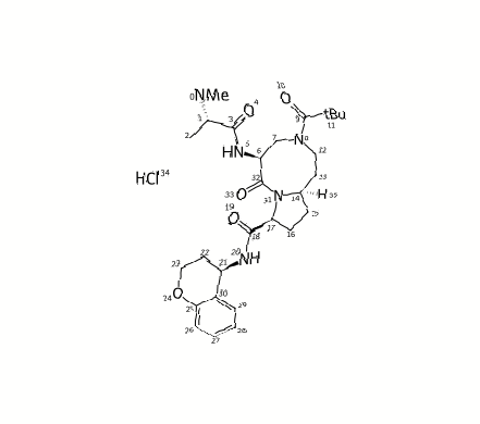 CN[C@@H](C)C(=O)N[C@H]1CN(C(=O)C(C)(C)C)CC[C@H]2CC[C@@H](C(=O)N[C@@H]3CCOc4ccccc43)N2C1=O.Cl